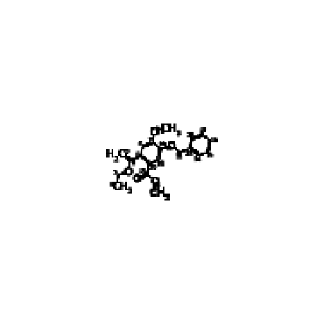 C=C(OCC)c1cc(OC)c(OCc2ccccc2)cc1C(=O)OC